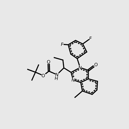 CCC(NC(=O)OC(C)(C)C)c1nc2c(C)cccc2c(=O)n1-c1cc(F)cc(F)c1